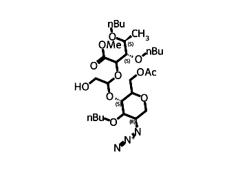 CCCCOC1[C@H](OC(CO)OC(C(=O)OC)[C@@H](OCCCC)[C@H](C)OCCCC)C(COC(C)=O)OC[C@H]1N=[N+]=[N-]